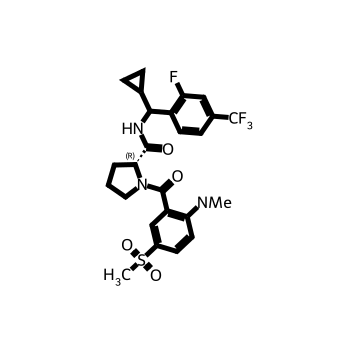 CNc1ccc(S(C)(=O)=O)cc1C(=O)N1CCC[C@@H]1C(=O)NC(c1ccc(C(F)(F)F)cc1F)C1CC1